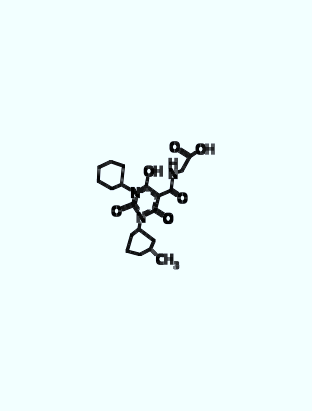 CC1CCCC(n2c(=O)c(C(=O)NCC(=O)O)c(O)n(C3CCCCC3)c2=O)C1